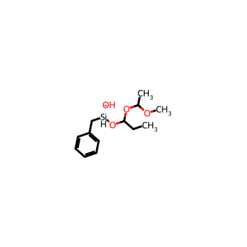 CCC(OC(C)OC)O[SiH](O)Cc1ccccc1